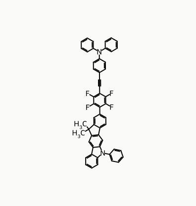 CC1(C)c2cc(-c3c(F)c(F)c(C#Cc4ccc(N(c5ccccc5)c5ccccc5)cc4)c(F)c3F)ccc2-c2cc3c(cc21)c1ccccc1n3-c1ccccc1